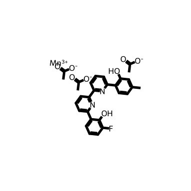 CC(=O)[O-].CC(=O)[O-].CC(=O)[O-].Cc1ccc(-c2cccc(-c3cccc(-c4cccc(F)c4O)n3)n2)c(O)c1.[Mn+3]